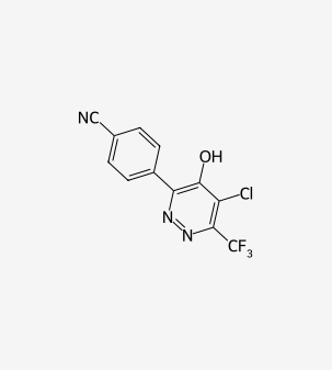 N#Cc1ccc(-c2nnc(C(F)(F)F)c(Cl)c2O)cc1